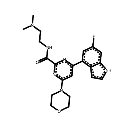 CN(C)CCNC(=O)c1nc(-c2cc(F)cc3[nH]ccc23)cc(N2CCOCC2)n1